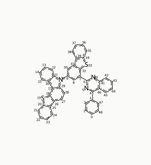 c1ccc(-c2nc(-c3cc(-n4c5ccccc5c5c6sc7ccccc7c6ccc54)cc4c3sc3ccccc34)nc3ccccc23)cc1